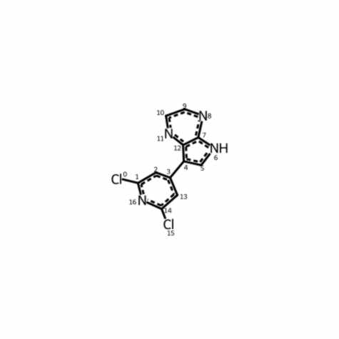 Clc1cc(-c2c[nH]c3nccnc23)cc(Cl)n1